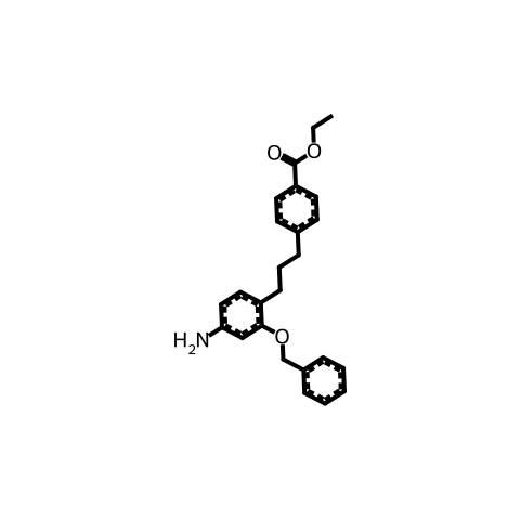 CCOC(=O)c1ccc(CCCc2ccc(N)cc2OCc2ccccc2)cc1